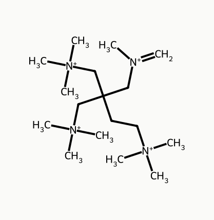 C=[N+](C)CC(CC[N+](C)(C)C)(C[N+](C)(C)C)C[N+](C)(C)C